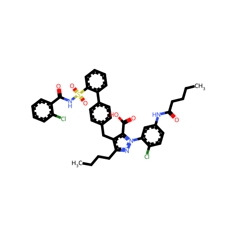 CCCCC(=O)Nc1ccc(Cl)c(-n2nc(CCCC)c(Cc3ccc(-c4ccccc4S(=O)(=O)NC(=O)c4ccccc4Cl)cc3)c2C(=O)O)c1